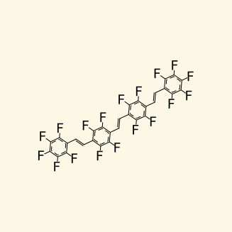 Fc1c(F)c(F)c(/C=C/c2c(F)c(F)c(/C=C/c3c(F)c(F)c(/C=C/c4c(F)c(F)c(F)c(F)c4F)c(F)c3F)c(F)c2F)c(F)c1F